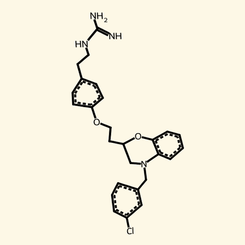 N=C(N)NCCc1ccc(OCCC2CN(Cc3cccc(Cl)c3)c3ccccc3O2)cc1